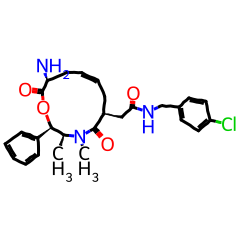 C[C@H]1[C@@H](c2ccccc2)OC(=O)[C@@H](N)CC=CC[C@@H](CC(=O)NCc2ccc(Cl)cc2)C(=O)N1C